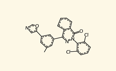 Cc1cc(-c2cnco2)cc(-c2nn(-c3c(Cl)cccc3Cl)c(=O)c3ccccc23)c1